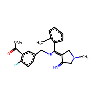 COC(=O)c1cc(CN/C(=C2/CN(C)CC2=N)c2ccccc2C)ccc1F